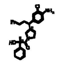 CC(C)CCC(c1ccc(N)c(Cl)c1)[C@H]1CCN(C(=O)[C@@](C)(O)C2=CCCC=C2)C1